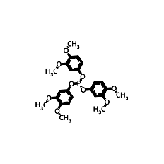 COc1ccc(OP(Oc2ccc(OC)c(OC)c2)Oc2ccc(OC)c(OC)c2)cc1OC